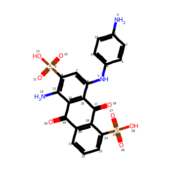 Nc1ccc(Nc2cc(S(=O)(=O)O)c(N)c3c2C(=O)c2c(cccc2S(=O)(=O)O)C3=O)cc1